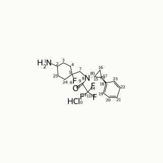 Cl.NC1CCC(F)(CN(C(=O)C(F)(F)F)[C@@H]2C[C@H]2c2ccccc2)CC1